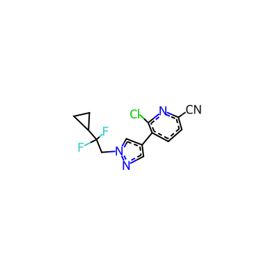 N#Cc1ccc(-c2cnn(CC(F)(F)C3CC3)c2)c(Cl)n1